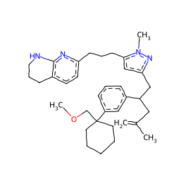 C=C(C)CC(Cc1cc(CCCc2ccc3c(n2)NCCC3)n(C)n1)c1cccc(C2(COC)CCCCC2)c1